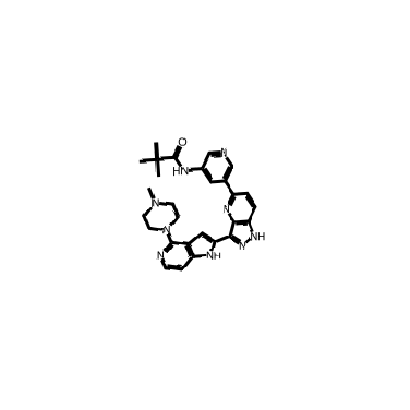 CN1CCN(c2nccc3[nH]c(-c4n[nH]c5ccc(-c6cncc(NC(=O)C(C)(C)C)c6)nc45)cc23)CC1